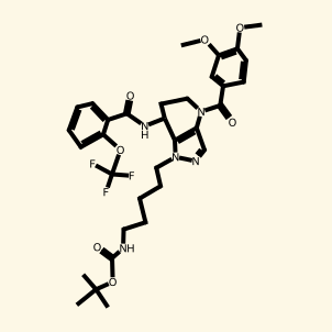 COc1ccc(C(=O)N2CCC(NC(=O)c3ccccc3OC(F)(F)F)c3c2cnn3CCCCCNC(=O)OC(C)(C)C)cc1OC